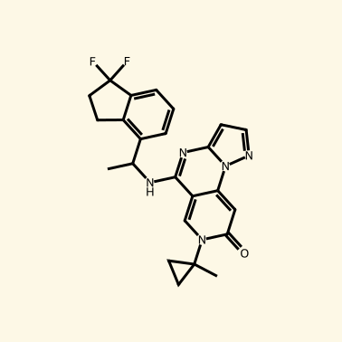 CC(Nc1nc2ccnn2c2cc(=O)n(C3(C)CC3)cc12)c1cccc2c1CCC2(F)F